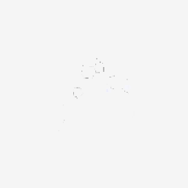 C=C(/C=C(F)\C=C(\F)COC)c1c[nH]c2ncc(-c3ccc(C(C)N4CCN(C)CC4)s3)cc12